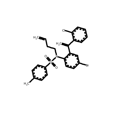 C=CCCN(c1ccc(Br)cc1C(=C)c1ccccc1Cl)S(=O)(=O)c1ccc(C)cc1